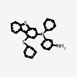 Nc1cccc(N(c2ccccc2)c2cc(Sc3ccccc3)c3c(c2)sc2ccccc23)c1